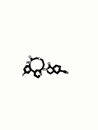 N#Cc1ccc2c(c1)CCN([C@H]1CCCCC(=O)Nc3ccc(F)cc3-c3ccnc1c3)C2=O